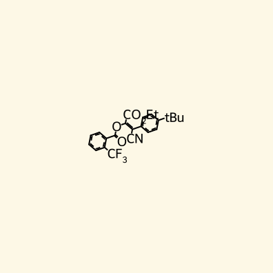 CCOC(=O)C(OC(=O)c1ccccc1C(F)(F)F)=C(C#N)c1ccc(C(C)(C)C)cc1